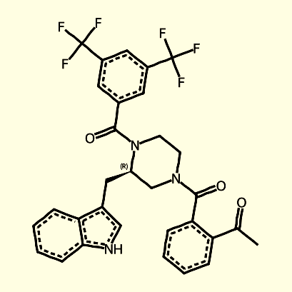 CC(=O)c1ccccc1C(=O)N1CCN(C(=O)c2cc(C(F)(F)F)cc(C(F)(F)F)c2)[C@H](Cc2c[nH]c3ccccc23)C1